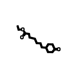 CCOC(=O)CCCCCCC1CCC(=O)CC1